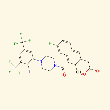 Cc1c(CC(=O)O)cc2ccc(F)cc2c1C(=O)N1CCN(c2cc(C(F)(F)F)cc(C(F)(F)F)c2I)CC1